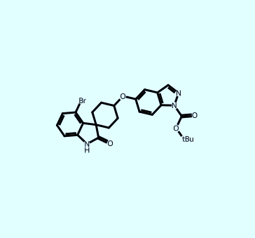 CC(C)(C)OC(=O)n1ncc2cc(OC3CCC4(CC3)C(=O)Nc3cccc(Br)c34)ccc21